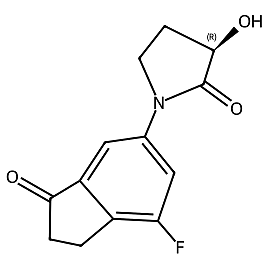 O=C1CCc2c(F)cc(N3CC[C@@H](O)C3=O)cc21